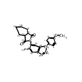 COc1ccc(-n2nnc3cc(F)c(N4C(=O)C5CCCCC5C4=O)cc32)cc1